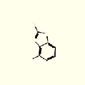 Nc1nc2c(Br)cccc2[nH]1